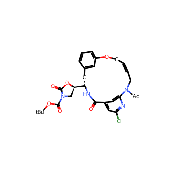 CC(=O)N1CC=CCOc2cccc(c2)C[C@@H]([C@H]2CN(C(=O)OC(C)(C)C)C(=O)O2)NC(=O)c2cc(Cl)nc1c2